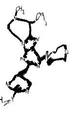 CC1c2nc3c(N4CCOCC4)nc(-c4cnc(N)nc4)nc3n2CCN1C